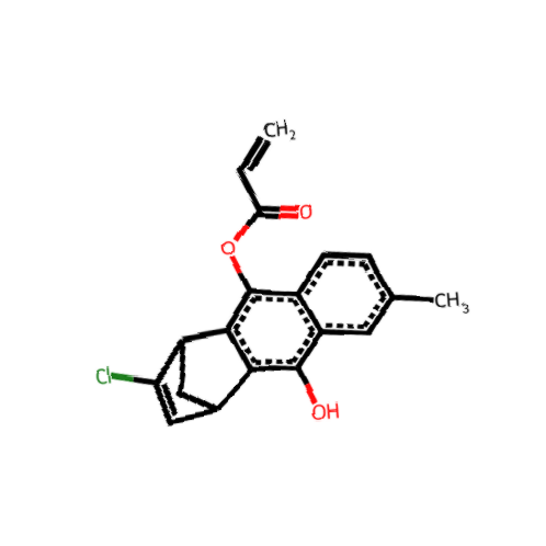 C=CC(=O)Oc1c2c(c(O)c3cc(C)ccc13)C1C=C(Cl)C2C1